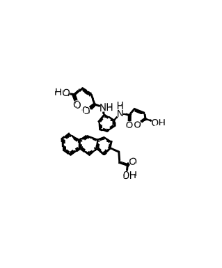 O=C(O)/C=C\C(=O)Nc1ccccc1NC(=O)/C=C\C(=O)O.O=C(O)CCc1ccc2cc3ccccc3cc2c1